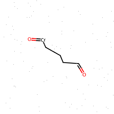 O=CCC[CH2][Cr]=[O]